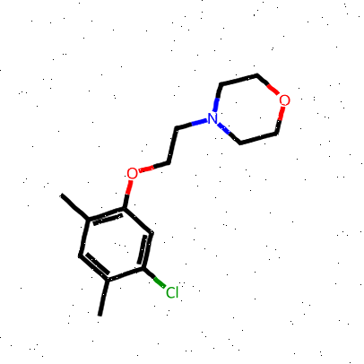 Cc1cc(C)c(OCCN2CCOCC2)cc1Cl